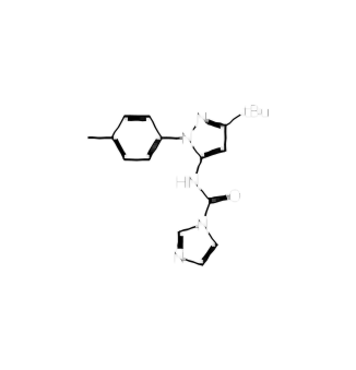 Cc1ccc(-n2nc(C(C)(C)C)cc2NC(=O)n2ccnc2)cc1